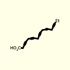 CCC#CCC#CCC#CCC#CCC#CCC(=O)O